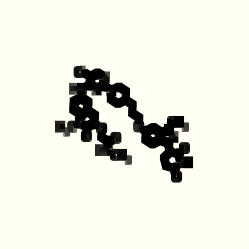 CNC(=O)COc1cc2cc(Nc3nc(N4CCC(CCCOc5ccc6c(C7CCC(=O)NC7=O)nn(C)c6c5)CC4)ncc3Cl)ccc2n(C)c1=O